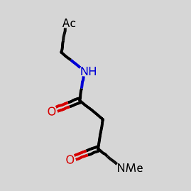 CNC(=O)CC(=O)NCC(C)=O